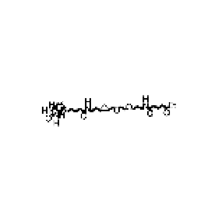 CCC(=O)CCCC(=O)NCCCOCCOCCOCCCNC(=O)CCCC[C@H]1SC[C@@H]2NC(=O)N[C@@H]21